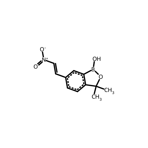 CC1(C)OB(O)c2cc(C=C[N+](=O)[O-])ccc21